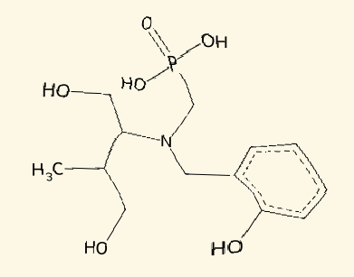 CC(CO)C(CO)N(Cc1ccccc1O)CP(=O)(O)O